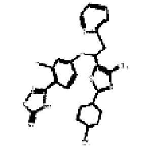 Cc1nc(C2CCC(C(F)(F)F)CC2)sc1C(Cc1ccccn1)Oc1ccc(-c2noc(=O)[nH]2)c(Cl)c1